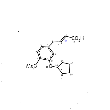 COc1ccc(C/C=C/C(=O)O)cc1OC1CCCC1